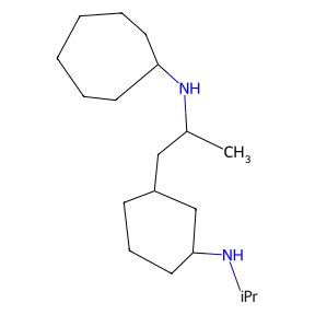 CC(C)NC1CCCC(CC(C)NC2CCCCCC2)C1